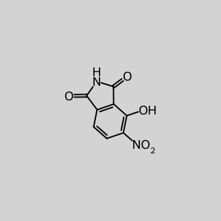 O=C1NC(=O)c2c1ccc([N+](=O)[O-])c2O